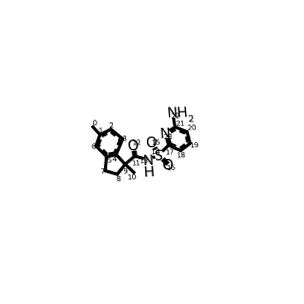 Cc1ccc2c(c1)CCC2(C)C(=O)NS(=O)(=O)c1cccc(N)n1